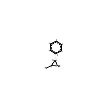 CC1N[C@H]1c1ccccc1